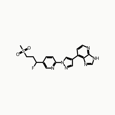 CS(=O)(=O)CCC(F)c1ccc(-n2cc(-c3ccnc4[nH]cnc34)cn2)nc1